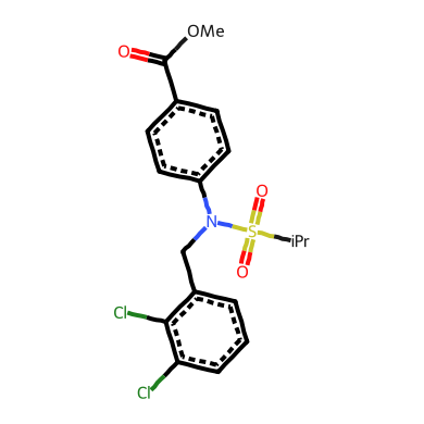 COC(=O)c1ccc(N(Cc2cccc(Cl)c2Cl)S(=O)(=O)C(C)C)cc1